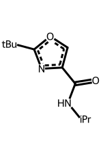 CC(C)NC(=O)c1coc(C(C)(C)C)n1